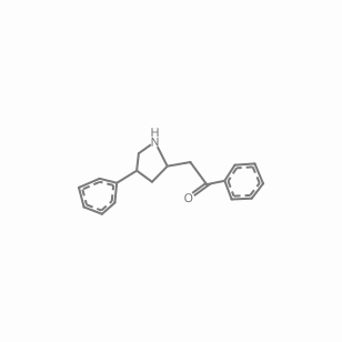 O=C(CC1CC(c2ccccc2)CN1)c1ccccc1